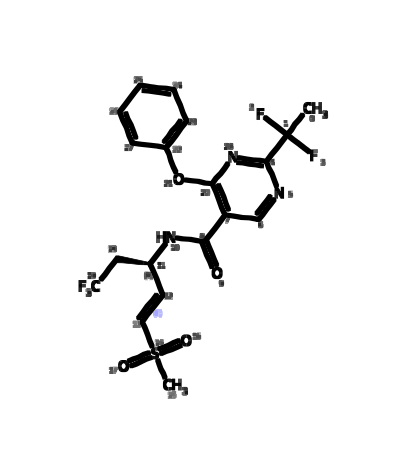 CC(F)(F)c1ncc(C(=O)N[C@@H](/C=C/S(C)(=O)=O)CC(F)(F)F)c(Oc2ccccc2)n1